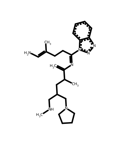 C=C(/N=C(\CC/C(C)=C/N)n1nnc2ccccc21)C(C)CC(CNC)CN1CCCC1